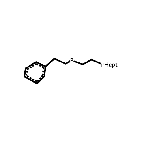 CCCCCCCCC[P]CCc1ccccc1